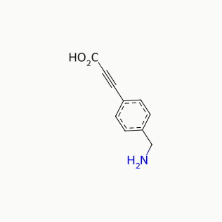 NCc1ccc(C#CC(=O)O)cc1